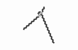 CCCCCCCCCCCCCCCCCCCc1n(CCCC)cc[n+]1CCCCCCCCCCCCC